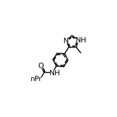 CCCC(=O)Nc1ccc(-c2nc[nH]c2C)cc1